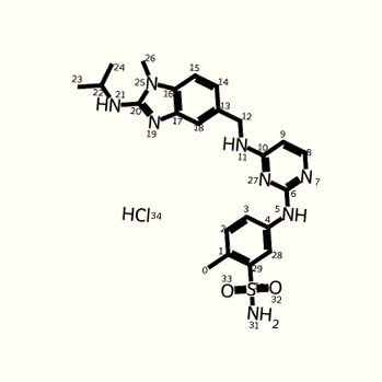 Cc1ccc(Nc2nccc(NCc3ccc4c(c3)nc(NC(C)C)n4C)n2)cc1S(N)(=O)=O.Cl